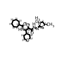 C[C@@H]1CN(C)C(=NNC(=O)C(=O)C(NC(=O)C2CCCCCC2)C2CCOCC2)S1